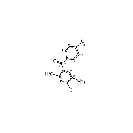 Cc1cc(C)c([PH](=O)c2ccc(O)cc2)cc1C